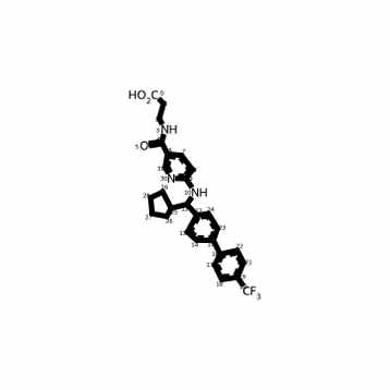 O=C(O)CCNC(=O)c1ccc(NC(c2ccc(-c3ccc(C(F)(F)F)cc3)cc2)C2CCCC2)nc1